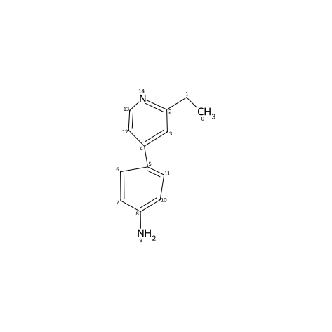 CCc1cc(-c2ccc(N)cc2)ccn1